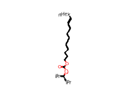 CCCCCC/C=C/CCCCCCCCOC(=O)OC(C(C)C)C(C)C